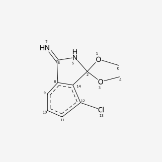 COC1(OC)NC(=N)c2cccc(Cl)c21